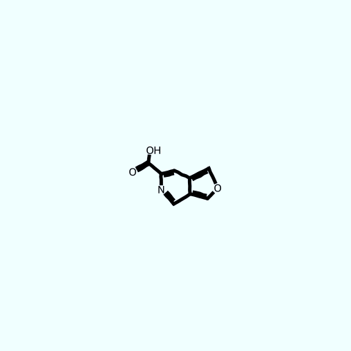 O=C(O)c1cc2cocc2cn1